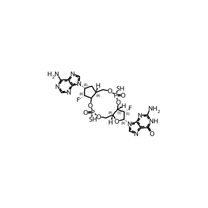 Nc1nc2c(ncn2[C@@H]2O[C@@H]3COP(=O)(S)OC4[C@@H](COP(=O)(S)O[C@@H]3[C@@H]2F)C[C@@H](n2cnc3c(N)ncnc32)[C@H]4F)c(=O)[nH]1